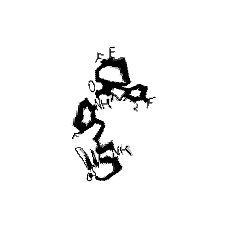 NC(C(=O)Nc1cccc(F)c1CC[C@H]1CNC2CCCS(=O)(=O)N1C2)C1(c2ccc(F)cc2)CCC(F)(F)CC1